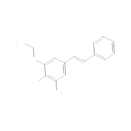 CCOc1cc(C=Cc2ccccc2)cc(O)c1O